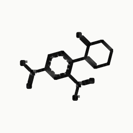 O=C1CCCC=C1c1ccc([N+](=O)[O-])cc1[N+](=O)[O-]